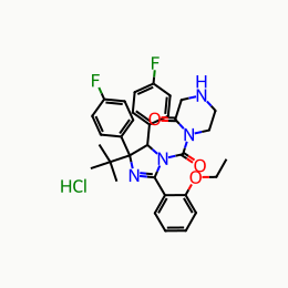 CCOc1ccccc1C1=NC(c2ccc(F)cc2)(C(C)(C)C)C(c2ccc(F)cc2)N1C(=O)N1CCNCC1=O.Cl